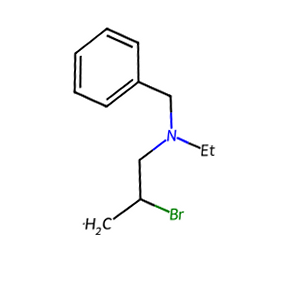 [CH2]C(Br)CN(CC)Cc1ccccc1